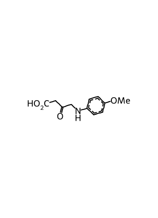 COc1ccc(NCC(=O)CC(=O)O)cc1